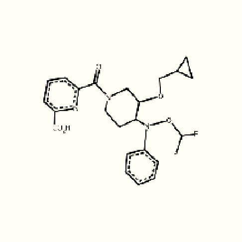 O=C(O)c1cccc(C(=O)N2CCC(N(OC(F)F)c3ccccc3)C(OCC3CC3)C2)n1